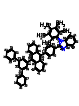 Bc1c(B)c(B)c(-n2c(-c3ccc(-c4c5ccccc5c(-c5cc(-c6ccccc6)cc(-c6ccccc6)c5)c5ccccc45)cc3)nc3ccccc32)c(B)c1B